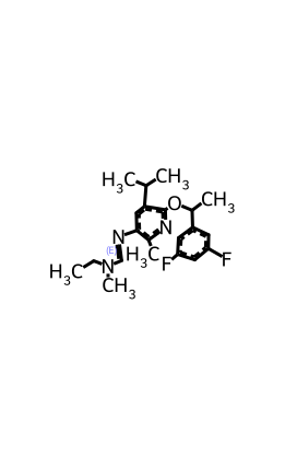 CCN(C)/C=N/c1cc(C(C)C)c(OC(C)c2cc(F)cc(F)c2)nc1C